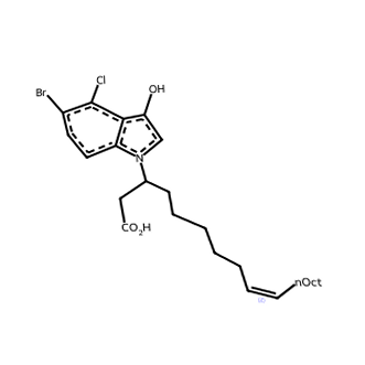 CCCCCCCC/C=C\CCCCCC(CC(=O)O)n1cc(O)c2c(Cl)c(Br)ccc21